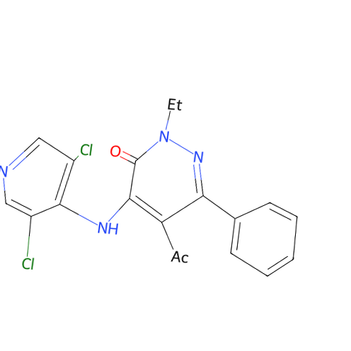 CCn1nc(-c2ccccc2)c(C(C)=O)c(Nc2c(Cl)cncc2Cl)c1=O